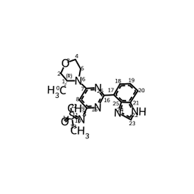 C[C@@H]1COCCN1c1cc(N=S(C)(C)=O)nc(-c2cccc3[nH]cnc23)n1